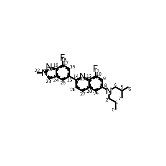 CCCN(CC(C)C)c1cc(F)c2nc(-c3cc(F)c4nn(C)cc4c3)ccc2c1